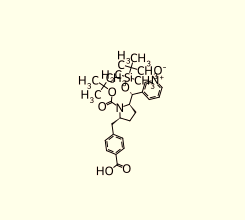 CC(C)(C)OC(=O)N1[C@H](Cc2ccc(C(=O)O)cc2)CC[C@@H]1[C@H](O[Si](C)(C)C(C)(C)C)c1ccc[n+]([O-])c1